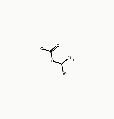 CC(C)C(C)OC([O])=O